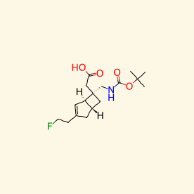 CC(C)(C)OC(=O)NC[C@]1(CC(=O)O)C[C@@H]2CC(CCF)=C[C@H]21